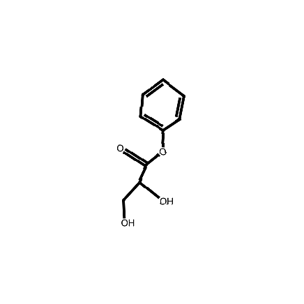 O=C(Oc1ccccc1)C(O)CO